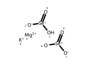 O=[Se]([O-])O.O=[Se]([O-])[O-].[K+].[Mg+2]